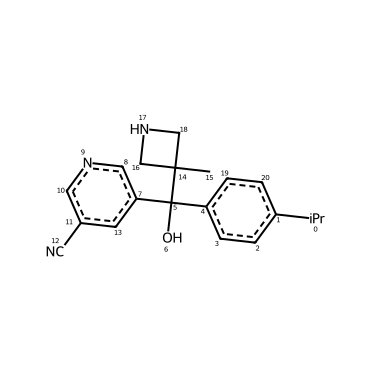 CC(C)c1ccc(C(O)(c2cncc(C#N)c2)C2(C)CNC2)cc1